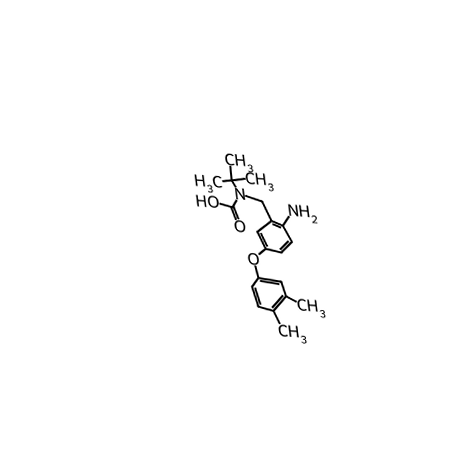 Cc1ccc(Oc2ccc(N)c(CN(C(=O)O)C(C)(C)C)c2)cc1C